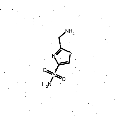 NCc1nc(S(N)(=O)=O)cs1